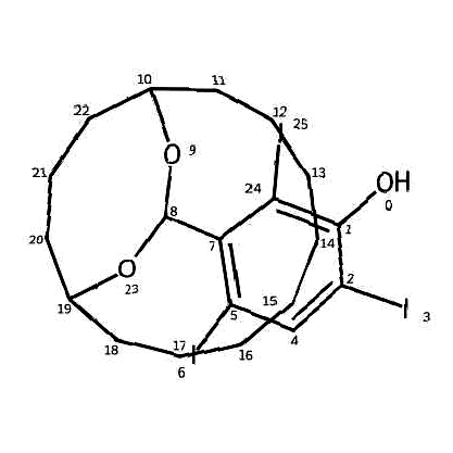 Oc1c(I)cc(I)c(C2OC3CCCCCCCCC(CCC3)O2)c1I